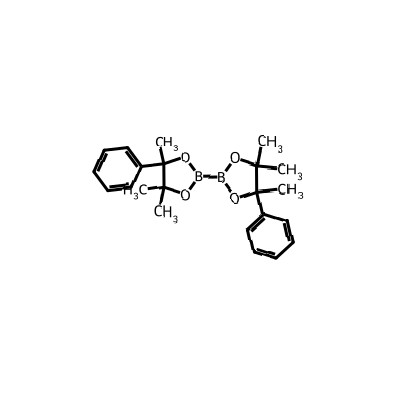 CC1(C)OB(B2OC(C)(C)C(C)(c3ccccc3)O2)OC1(C)c1ccccc1